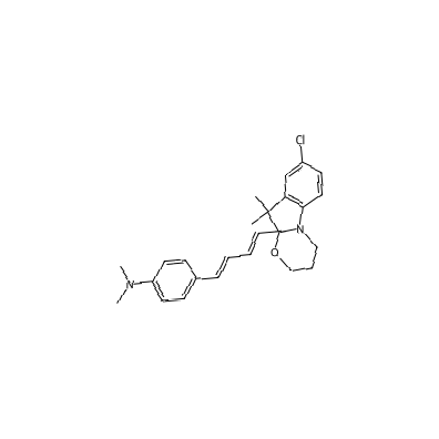 CN(C)c1ccc(/C=C/C=C/C23OCCCN2c2ccc(Cl)cc2C3(C)C)cc1